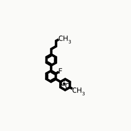 CCCCc1ccc(-c2cccc(C34CCC(C)(CC3)CC4)c2F)cc1